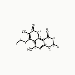 CCCc1c(Cl)c(=O)oc2c3c(cc(O)c12)OC(C)CC3=O